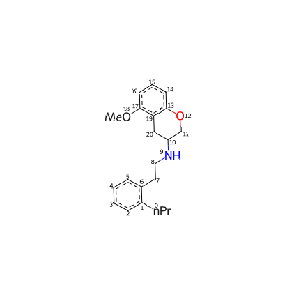 CCCc1ccccc1CCNC1COc2cccc(OC)c2C1